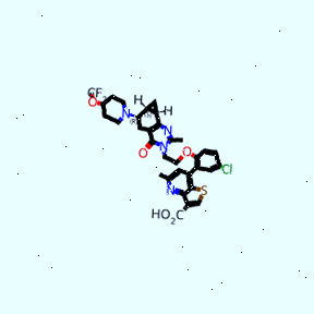 Cc1cc(-c2cc(Cl)ccc2OCCn2c(C)nc3c(c2=O)C[C@@H](N2CCC(OC(F)(F)F)CC2)[C@H]2C[C@@H]32)c2scc(C(=O)O)c2n1